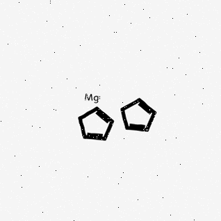 C1=CCC=C1.C1=CCC=C1.[Mg]